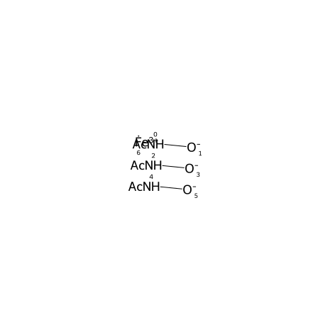 CC(=O)N[O-].CC(=O)N[O-].CC(=O)N[O-].[Fe+3]